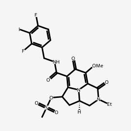 CCN1C[C@H]2CC(OS(C)(=O)=O)c3c(C(=O)NCc4ccc(F)c(I)c4F)c(=O)c(OC)c(n32)C1=O